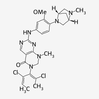 C/C=C(Cl)\C(=C(/C)Cl)N1CN(C)c2nc(Nc3ccc(N4C[C@@H]5C[C@H]4CN5C)c(OC)c3)ncc2C1=O